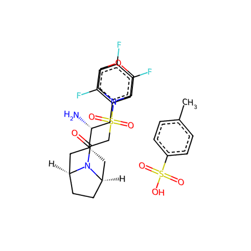 Cc1ccc(S(=O)(=O)O)cc1.N[C@H](Cc1cc(F)c(F)cc1F)[C@@H]1C[C@H]2CC[C@@H](C1)N2C(=O)CS(=O)(=O)N1CCOCC1